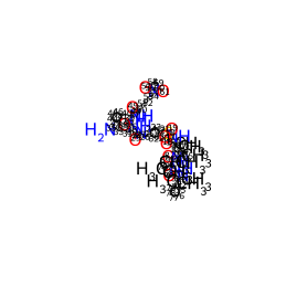 CN[C@H](C(=O)N[C@H](C(=O)N(C)[C@H](/C=C(\C)C(=O)NS(=O)(=O)Cc1ccc(CNC(=O)C(CCCCN)NC(=O)[C@H](Cc2ccccc2)NC(=O)CCCCCN2C(=O)C=CC2=O)cc1)C(C)C)C(C)(C)C)C(C)(C)c1ccccc1